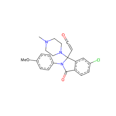 COc1ccc(N2C(=O)c3ccc(Cl)cc3C2(C=C=O)N2CCN(C)CC2)cc1